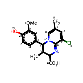 COc1cc(C2C(C)C(C(=O)O)N=C3C(Cl)=CC(C(F)(F)F)=CN32)ccc1O